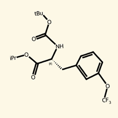 CC(C)OC(=O)[C@@H](Cc1cccc(OC(F)(F)F)c1)NC(=O)OC(C)(C)C